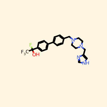 OC(F)(c1ccc(-c2ccc(CN3CCN(Cc4c[nH]cn4)CC3)cc2)cc1)C(F)(F)F